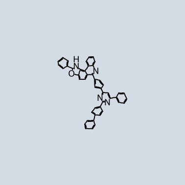 c1ccc(-c2ccc(-c3nc(-c4ccccc4)cc(-c4ccc(-c5nc6ccccc6c6c7c(ccc56)OC(c5ccccc5)N7)cc4)n3)cc2)cc1